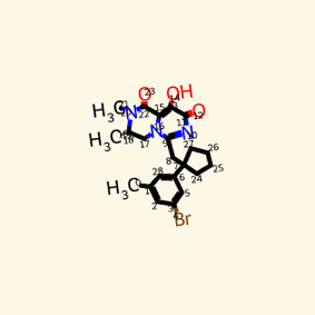 Cc1cc(Br)cc(C2(Cc3nc(=O)c(O)c4n3C[C@H](C)N(C)C4=O)CCCC2)c1